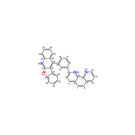 c1cc(-c2ccc3ccc4cccnc4c3n2)cc(-c2c3ccccc3nc3oc4ccccc4c23)c1